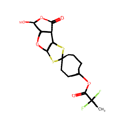 CC(F)(F)C(=O)OC1CCC2(CC1)SC1OC3C(O)OC(=O)C3C1S2